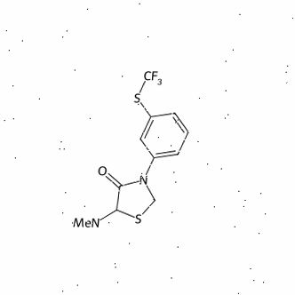 CNC1SCN(c2cccc(SC(F)(F)F)c2)C1=O